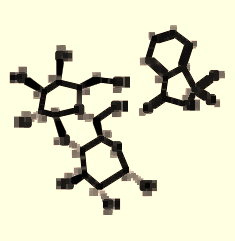 O=C1NS(=O)(=O)c2ccccc21.OC[C@H]1O[C@@H](O[C@H]2[C@H](O)[C@@H](O)[C@@H](O)O[C@@H]2CO)[C@H](O)[C@@H](O)[C@H]1O